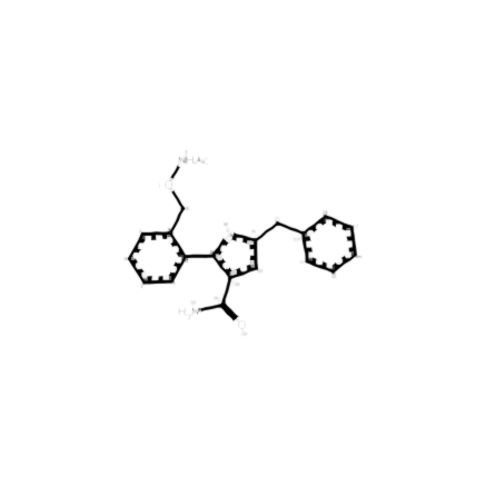 CC(=O)NOCc1ccccc1-c1sc(Cc2ccccc2)cc1C(N)=O